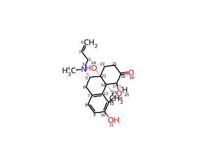 C=CCN(C)[C@H]1Cc2ccc(O)c3c2[C@]2(CC)[C@H](O3)C(=O)CC[C@]12O